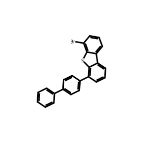 Brc1cccc2c1sc1c(-c3ccc(-c4ccccc4)cc3)cccc12